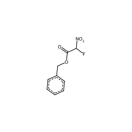 O=C(OCc1ccccc1)C(F)[N+](=O)[O-]